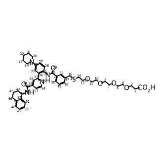 O=C(O)CCOCCOCCOCCOCCSCc1cccc(C(=O)Nc2ccc(N3CCCCC3)cc2-c2cc(C(=O)NC3CCCc4ccccc43)ccn2)c1